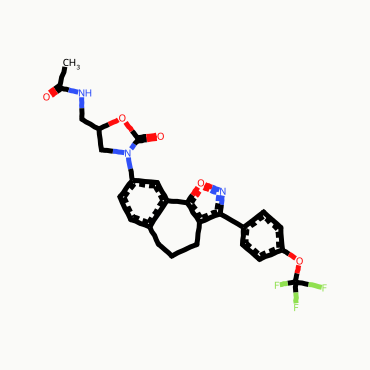 CC(=O)NCC1CN(c2ccc3c(c2)-c2onc(-c4ccc(OC(F)(F)F)cc4)c2CCC3)C(=O)O1